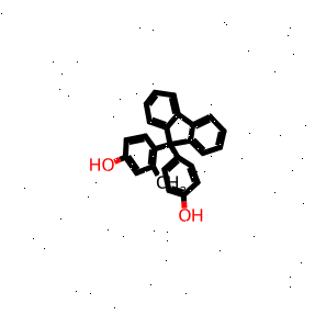 Cc1cc(O)ccc1C1(c2ccc(O)cc2)c2ccccc2-c2ccccc21